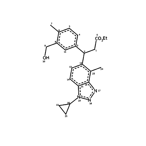 CCOC(=O)CC(c1ccc(C)c(CO)c1)c1ccc2c(nnn2C2CC2)c1C